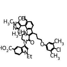 CCn1cc(N2C[C@@H](C)n3c(c(CCCOc4cc(C)c(Cl)c(C)c4)c4ccc(Cl)c(-c5c(C)nn(C)c5C)c43)C2=O)c2cc(C(=O)O)ccc21